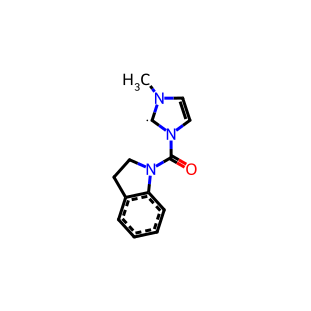 CN1[CH]N(C(=O)N2CCc3ccccc32)C=C1